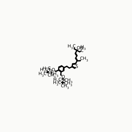 CCC(=CC=CC(O)(CC)CC)c1cc(CCc2ccc(CO[Si](C)(C)C(C)(C)C)c(CO[Si](C)(C)C(C)(C)C)c2)cs1